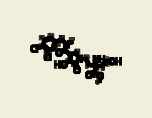 COC(=O)C(N)(CCO)CCN1CC(C(=O)N(C)Cc2ccc(Cl)c(Cl)c2)=C(O)C1=O